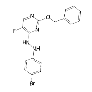 Fc1cnc(OCc2ccccc2)nc1NNc1ccc(Br)cc1